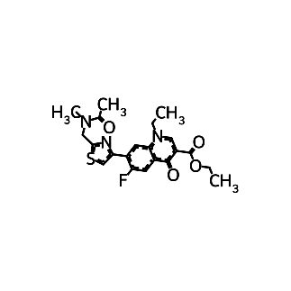 CCOC(=O)c1cn(CC)c2cc(-c3csc(CN(C)C(C)=O)n3)c(F)cc2c1=O